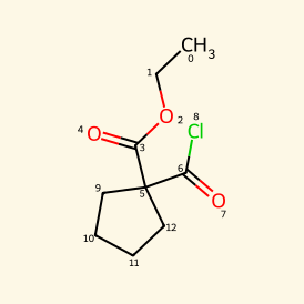 CCOC(=O)C1(C(=O)Cl)CCCC1